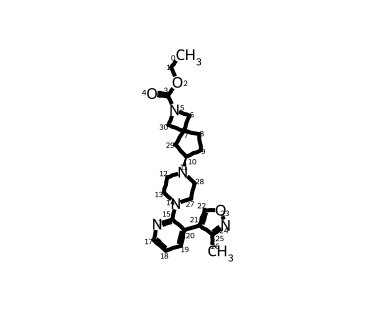 CCOC(=O)N1CC2(CC[C@@H](N3CCN(c4ncccc4-c4conc4C)CC3)C2)C1